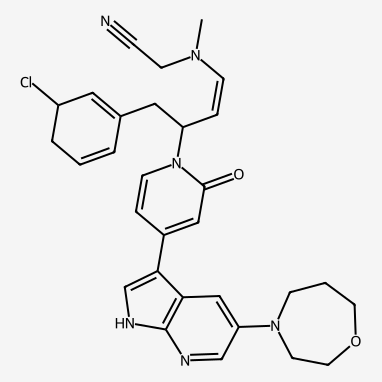 CN(/C=C\C(CC1=CC(Cl)CC=C1)n1ccc(-c2c[nH]c3ncc(N4CCCOCC4)cc23)cc1=O)CC#N